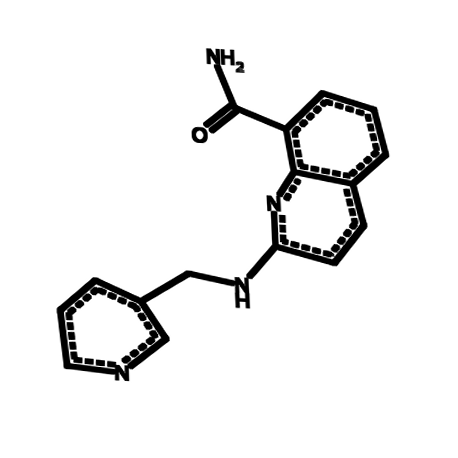 NC(=O)c1cccc2ccc(NCc3cccnc3)nc12